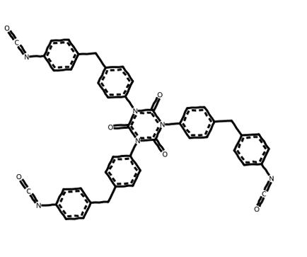 O=C=Nc1ccc(Cc2ccc(-n3c(=O)n(-c4ccc(Cc5ccc(N=C=O)cc5)cc4)c(=O)n(-c4ccc(Cc5ccc(N=C=O)cc5)cc4)c3=O)cc2)cc1